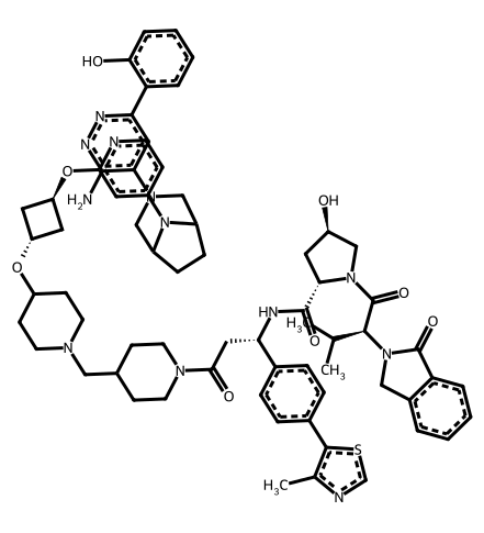 Cc1ncsc1-c1ccc([C@H](CC(=O)N2CCC(CN3CCC(O[C@H]4C[C@H](Oc5cc(N6C7CCC6CN(c6cc(-c8ccccc8O)nnc6N)C7)ccn5)C4)CC3)CC2)NC(=O)[C@@H]2C[C@@H](O)CN2C(=O)[C@H](C(C)C)N2Cc3ccccc3C2=O)cc1